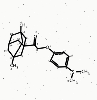 C[S+](C)c1ccc(OCC(=O)C23CC4CC(C)(CC(C)(C4)C2)C3)cc1